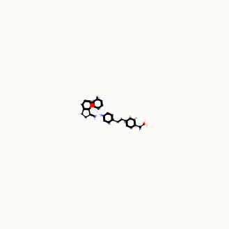 C=C(C(=O)O)c1ccc(C=Cc2ccc(N(/C=C3/CCc4ccccc43)c3ccc(C)cc3)cc2)cc1